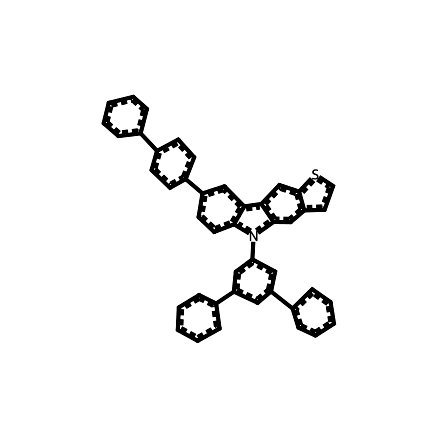 c1ccc(-c2ccc(-c3ccc4c(c3)c3cc5sccc5cc3n4-c3cc(-c4ccccc4)cc(-c4ccccc4)c3)cc2)cc1